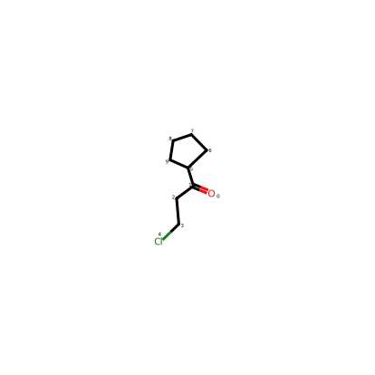 O=C(CCCl)C1CCCC1